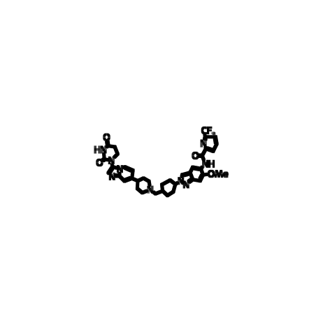 COc1cc2nn(C3CCC(CN4CCC(c5ccn6c(N7CCC(=O)NC7=O)cnc6c5)CC4)CC3)cc2cc1NC(=O)c1cccc(C(F)(F)F)n1